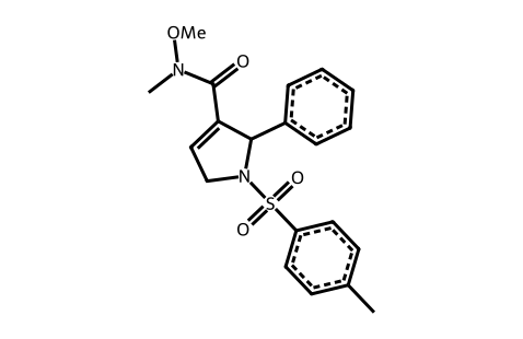 CON(C)C(=O)C1=CCN(S(=O)(=O)c2ccc(C)cc2)C1c1ccccc1